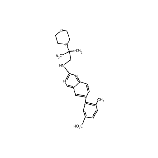 Cc1ccc(C(=O)O)cc1-c1ccc2nc(NCC(C)(C)N3CCOCC3)ncc2c1